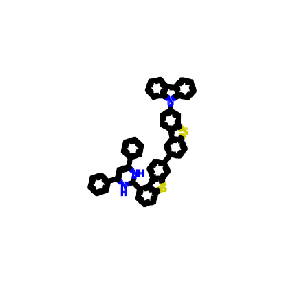 C1=C(c2ccccc2)NC(c2cccc3sc4cc(-c5ccc6sc7cc(-n8c9ccccc9c9ccccc98)ccc7c6c5)ccc4c23)NC=1c1ccccc1